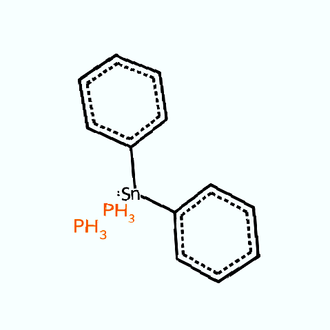 P.P.c1cc[c]([Sn][c]2ccccc2)cc1